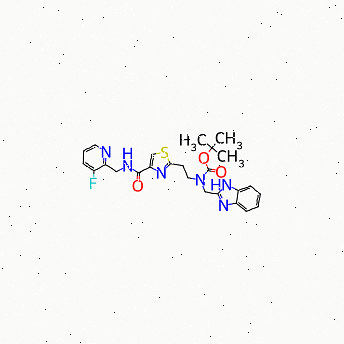 CC(C)(C)OC(=O)N(CCc1nc(C(=O)NCc2ncccc2F)cs1)Cc1nc2ccccc2[nH]1